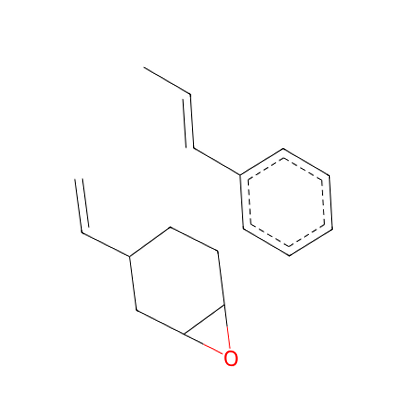 C=CC1CCC2OC2C1.CC=Cc1ccccc1